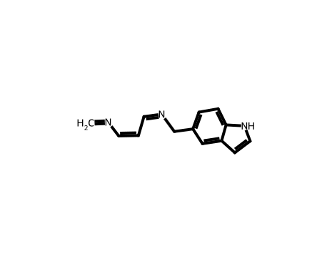 C=N/C=C\C=N/Cc1ccc2[nH]ccc2c1